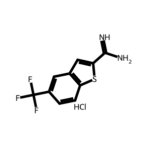 Cl.N=C(N)c1cc2cc(C(F)(F)F)ccc2s1